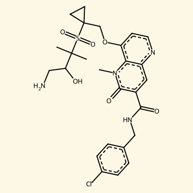 Cn1c(=O)c(C(=O)NCc2ccc(Cl)cc2)cc2nccc(OCC3(S(=O)(=O)C(C)(C)C(O)CN)CC3)c21